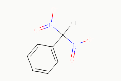 CC(c1ccccc1)([N+](=O)[O-])[N+](=O)[O-]